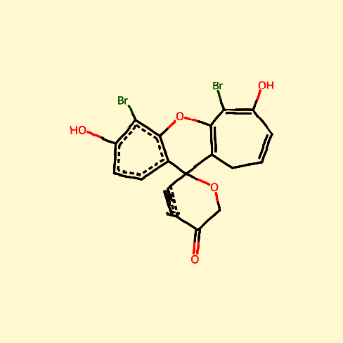 O=C1COC2(C3=C(Oc4c2ccc(O)c4Br)C(Br)=C(O)C=CC3)c2ccccc21